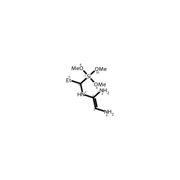 CCC(N/C(N)=C/N)[Si](OC)(OC)OC